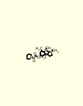 Cc1cc(OC(=O)NN2CCCCC2)cc2c1N(C)C1N(C)CC[C@@]21C